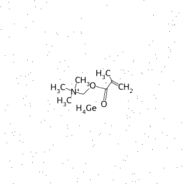 C=C(C)C(=O)OC[N+](C)(C)C.[GeH4]